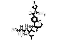 CC(C)NC(NC(N)NN=N)C(C)NC1=C(F)CCOc2cc(C(=O)N(N)C3CN(C)C3)ccc21